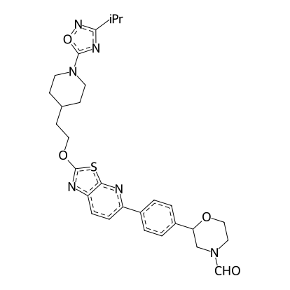 CC(C)c1noc(N2CCC(CCOc3nc4ccc(-c5ccc(C6CN(C=O)CCO6)cc5)nc4s3)CC2)n1